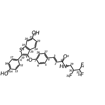 O=C(C=Cc1ccc(Oc2c(-c3ccc(O)cc3)sc3cc(O)ccc23)cc1)NCC(F)C(F)F